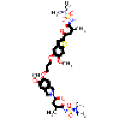 COc1cc2c(cc1OCCCOc1cc3cc(C(=O)C[C@H](C)C(=O)NS(=O)(=O)N(C)C)sc3cc1OC)CN(C(=O)C[C@H](C)C(=O)NS(=O)(=O)N(C)C)C2